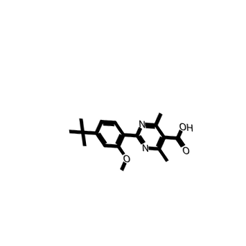 COc1cc(C(C)(C)C)ccc1-c1nc(C)c(C(=O)O)c(C)n1